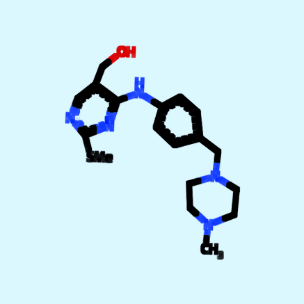 CSc1ncc(CO)c(Nc2ccc(CN3CCN(C)CC3)cc2)n1